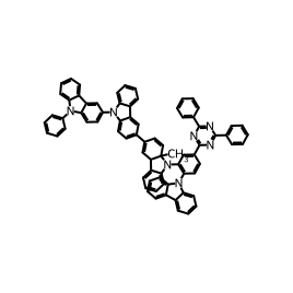 CC12C=CC(c3ccc4c(c3)c3ccccc3n4-c3ccc4c(c3)c3ccccc3n4-c3ccccc3)=CC1c1ccccc1N2c1cc(-c2nc(-c3ccccc3)nc(-c3ccccc3)n2)ccc1-n1c2ccccc2c2ccccc21